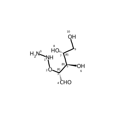 NNO[C@@H](C=O)[C@H](O)[C@H](O)CO